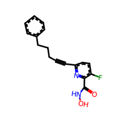 O=C(NO)c1nc(C#CCCCc2ccccc2)ccc1F